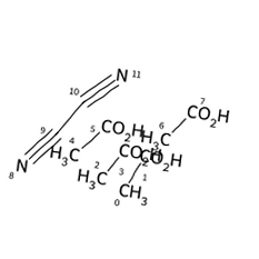 CC(=O)O.CC(=O)O.CC(=O)O.CC(=O)O.N#CC#N